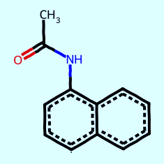 CC(=O)Nc1cc[c]c2ccccc12